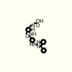 Cc1ccc(CNCC(=O)O)cc1NC(=O)c1ccc(Nc2nc(-c3ccccc3)c3ccccc3n2)cc1